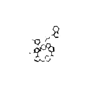 COc1ccccc1-c1nccc(CN2CCN(C(=O)c3ccc4c(c3)C3(CCC(Nc5cccc(Cl)c5)(C(=O)O)CC3)[C@@H](C[C@@H](C)COc3ccnc5c3[C@H](C)CCC5)C4)CC2)n1